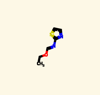 CCOC=Nc1nccs1